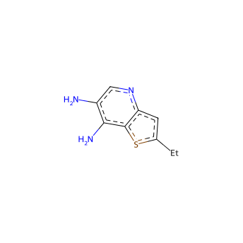 CCc1cc2ncc(N)c(N)c2s1